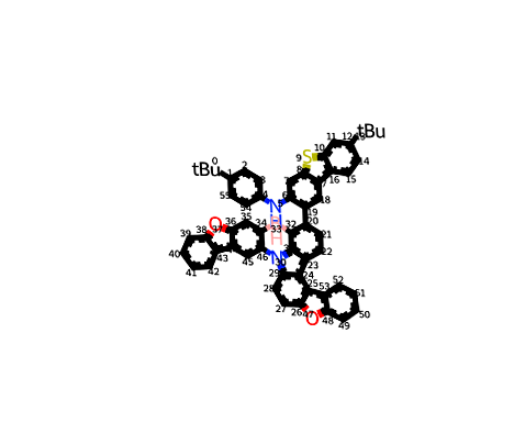 CC(C)(C)c1ccc(Nc2cc3sc4cc(C(C)(C)C)ccc4c3cc2-c2ccc3c4c5c(ccc4n4c3c2Bc2cc3oc6ccccc6c3cc2-4)oc2ccccc25)cc1